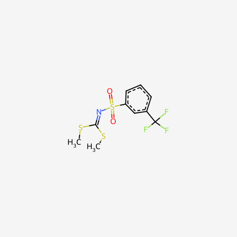 CSC(=NS(=O)(=O)c1cccc(C(F)(F)F)c1)SC